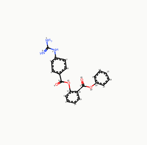 N=C(N)Nc1ccc(C(=O)Oc2ccccc2C(=O)Oc2ccccc2)cc1